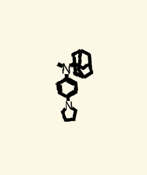 CN(c1ccc(N2CCCC2)cc1)C12CC3CC(CC(C3)C1)C2